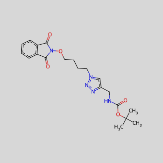 CC(C)(C)OC(=O)NCc1cn(CCCCON2C(=O)c3ccccc3C2=O)nn1